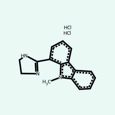 Cl.Cl.Cn1c2ccccc2c2cccc(C3=NCCN3)c21